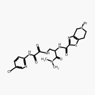 CC(C)N1CCc2sc(C(=O)NC(CNC(=O)C(=O)Nc3ccc(Cl)cn3)C(=O)N(C)C)nc2C1